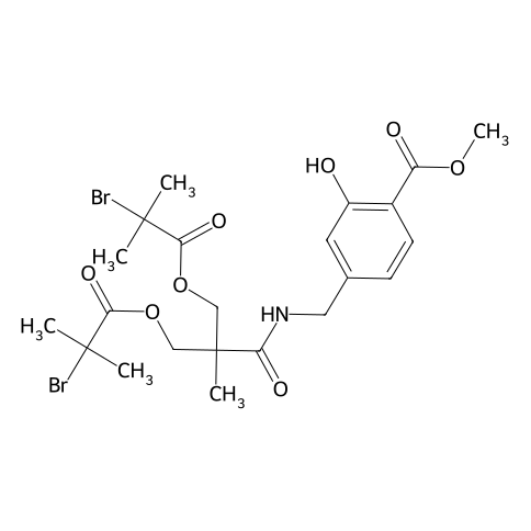 COC(=O)c1ccc(CNC(=O)C(C)(COC(=O)C(C)(C)Br)COC(=O)C(C)(C)Br)cc1O